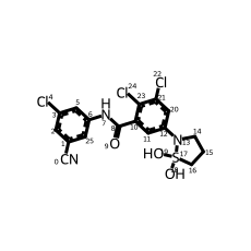 N#Cc1cc(Cl)cc(NC(=O)c2cc(N3CCCS3(O)O)cc(Cl)c2Cl)c1